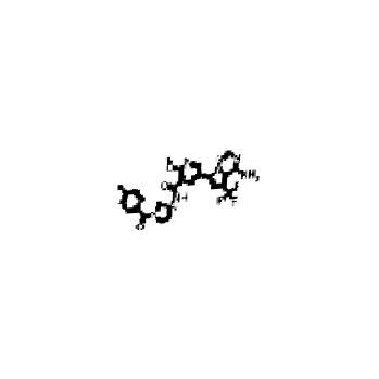 COc1ncc(-c2cc(C(F)(F)F)c3c(N)ncnn23)cc1C(=O)N[C@H]1CCN(C(=O)c2ccc(C)cc2)C1